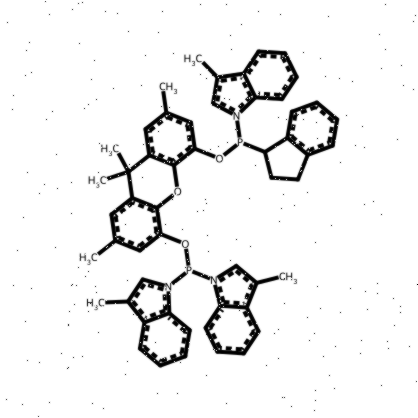 Cc1cc(OP(C2CCc3ccccc32)n2cc(C)c3ccccc32)c2c(c1)C(C)(C)c1cc(C)cc(OP(n3cc(C)c4ccccc43)n3cc(C)c4ccccc43)c1O2